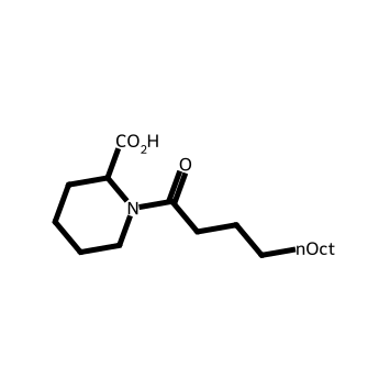 CCCCCCCCCCCC(=O)N1CCCCC1C(=O)O